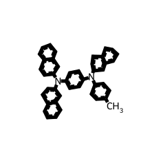 Cc1ccc(N(c2ccc(N(c3ccc4ccccc4c3)c3ccc4ccccc4c3)cc2)c2ccc3ccccc3c2)cc1